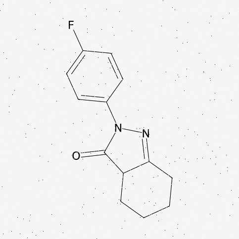 O=C1C2CCCCC2=NN1c1ccc(F)cc1